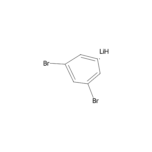 Brc1c[c]cc(Br)c1.[LiH]